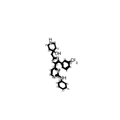 OC1(Cc2nc(-c3cccc(C(F)(F)F)c3)c(-c3ccnc(NC4CCCCC4)n3)s2)CCNCC1